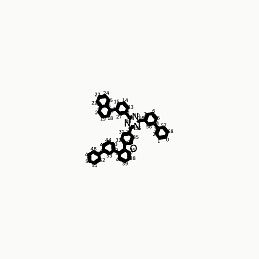 c1ccc(-c2cccc(-c3nc(-c4cccc(-c5cccc6ccccc56)c4)nc(-c4ccc5c(c4)oc4cccc(-c6cccc(-c7ccccc7)c6)c45)n3)c2)cc1